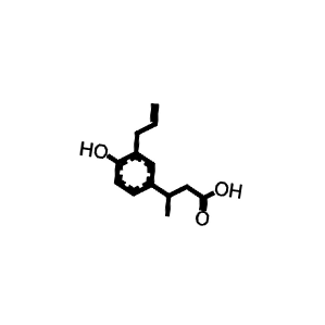 C=CCc1cc(C(C)CC(=O)O)ccc1O